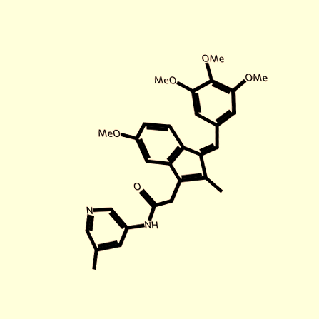 COc1ccc2c(c1)C(CC(=O)Nc1cncc(C)c1)=C(C)/C2=C/c1cc(OC)c(OC)c(OC)c1